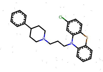 Clc1ccc2c(c1)N(CCCN1CCC(c3ccccc3)CC1)c1ccccc1S2